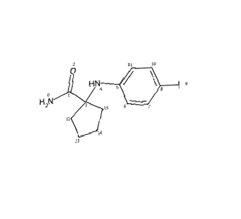 NC(=O)C1(Nc2ccc(I)cc2)CCCC1